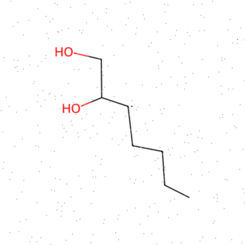 CCCC[CH]C(O)CO